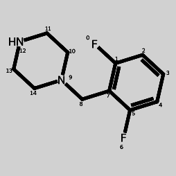 Fc1cccc(F)c1CN1CCNCC1